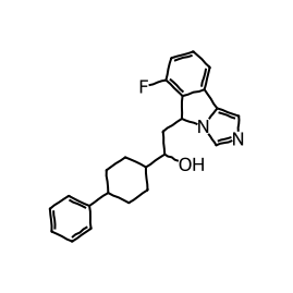 OC(CC1c2c(F)cccc2-c2cncn21)C1CCC(c2ccccc2)CC1